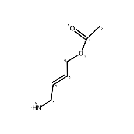 CC(=O)OC/C=C/C[NH]